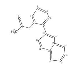 CC(=O)Cc1ccccc1-c1ccc2ccccc2c1